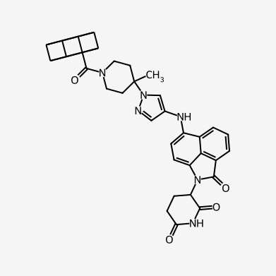 CC1(n2cc(Nc3ccc4c5c(cccc35)C(=O)N4C3CCC(=O)NC3=O)cn2)CCN(C(=O)C23C4C5C6C4C2C6C53)CC1